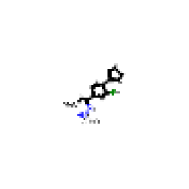 COC/C(=N\NC=O)c1ccc(C2=CCCC2)c(F)c1